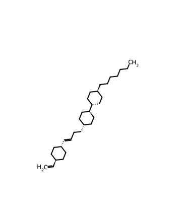 C=C[C@H]1CC[C@H](C=CCC[C@H]2CC[C@H]([C@H]3CC[C@H](CCCCCCC)CC3)CC2)CC1